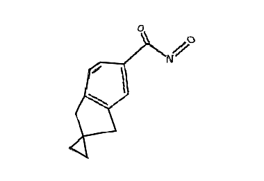 O=NC(=O)c1ccc2c(c1)CC1(CC1)C2